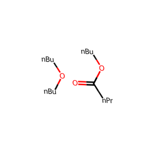 CCCCOC(=O)CCC.CCCCOCCCC